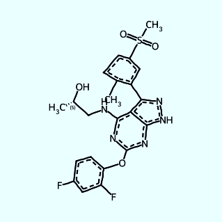 Cc1ccc(S(C)(=O)=O)cc1-c1n[nH]c2nc(Oc3ccc(F)cc3F)nc(NC[C@H](C)O)c12